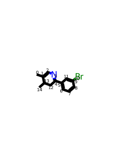 CC1=CN=C(c2cccc(Br)c2)CC1C